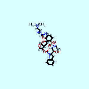 CC(C)CN(CC(O)C(Cc1ccccc1)NC(=O)OC1COC2OCCC12)S(=O)(=O)c1ccc2nc(NCCN(C)C)oc2c1